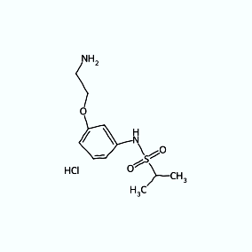 CC(C)S(=O)(=O)Nc1cccc(OCCN)c1.Cl